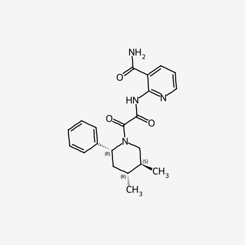 C[C@@H]1C[C@H](c2ccccc2)N(C(=O)C(=O)Nc2ncccc2C(N)=O)C[C@H]1C